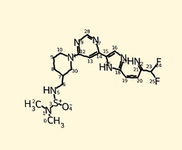 CN(C)[S+]([O-])NCC1CCCN(c2cc(-c3cnc(/C=C\C(=N)C(F)F)[nH]3)ncn2)C1